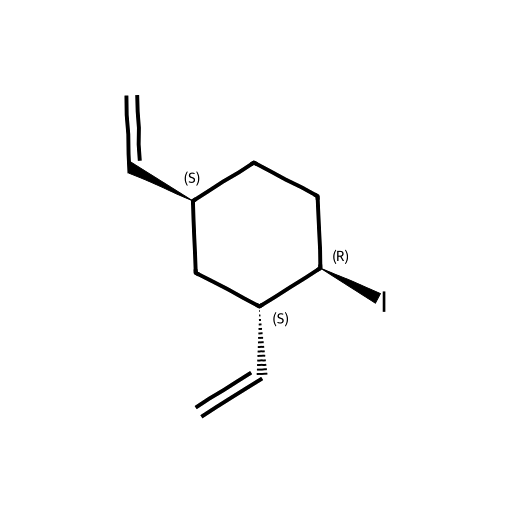 C=C[C@H]1CC[C@@H](I)[C@H](C=C)C1